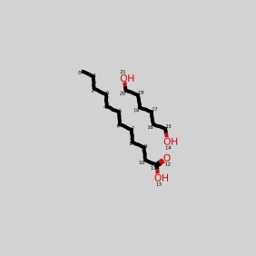 CCCCCCCCCCCC(=O)O.OCCCCCCO